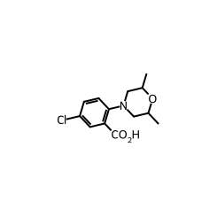 CC1CN(c2ccc(Cl)cc2C(=O)O)CC(C)O1